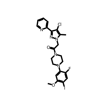 COc1cc(N2CCN(C(=O)Cn3nc(-c4ccccn4)c(Cl)c3C)CC2)c(F)cc1I